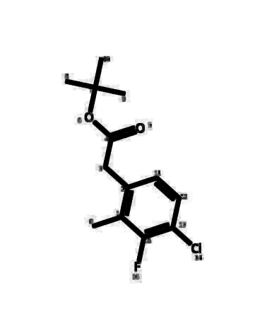 Cc1c(CC(=O)OC(C)(C)C)ccc(Cl)c1F